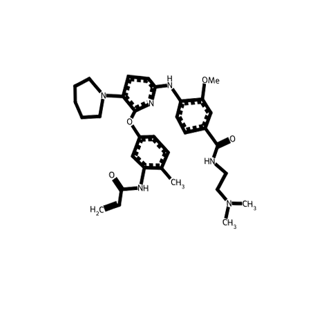 C=CC(=O)Nc1cc(Oc2nc(Nc3ccc(C(=O)NCCN(C)C)cc3OC)ccc2N2CCCCC2)ccc1C